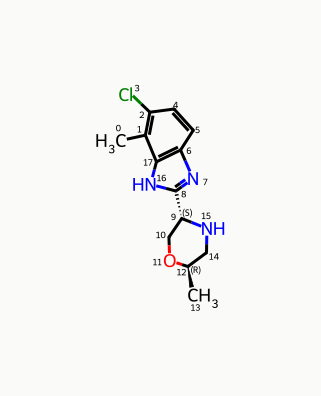 Cc1c(Cl)ccc2nc([C@H]3CO[C@H](C)CN3)[nH]c12